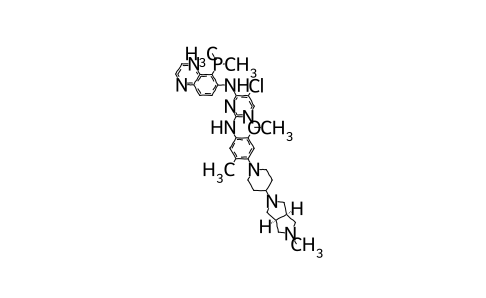 COc1cc(N2CCC(N3C[C@H]4CN(C)C[C@H]4C3)CC2)c(C)cc1Nc1ncc(Cl)c(Nc2ccc3nccnc3c2P(C)C)n1